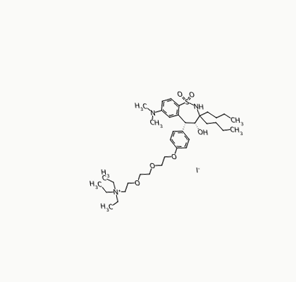 CCCCC1(CCCC)NS(=O)(=O)c2ccc(N(C)C)cc2[C@@H](c2ccc(OCCOCCOCC[N+](CC)(CC)CC)cc2)[C@H]1O.[I-]